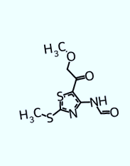 COCC(=O)c1sc(SC)nc1NC=O